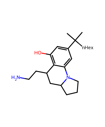 CCCCCCC(C)(C)c1cc(O)c2c(c1)N1CCCC1CC2CCN